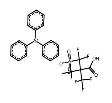 CC(C)(C)C(C(=O)O)(C(F)(F)F)C(F)(F)S(=O)(=O)[O-].c1ccc([S+](c2ccccc2)c2ccccc2)cc1